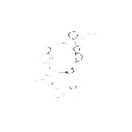 C=CC(=O)N(C)[C@@H]1CCCN(C(=O)N(C)C(C(=O)N[C@H]2Cc3nc(cs3)-c3ccc4c(c3)c(c(-c3cccnc3[C@H](C)OC)n4CC)CC(C)(C)COC(=O)[C@@H]3CCCN(N3)C2=O)C(C)C)C1